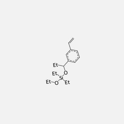 C=Cc1cccc(C(CC)O[Si](CC)(CC)OCC)c1